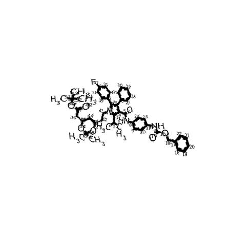 CC(C)c1c(C(=O)Nc2ccc(NC(=O)OCc3ccccc3)cc2)c(-c2ccccc2)c(-c2ccc(F)cc2)n1CC[C@@H]1C[C@H](CC(=O)OC(C)(C)C)OC(C)(C)O1